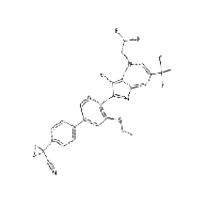 CCSc1cc(-c2ccc(C3(C#N)CC3)cc2)cnc1-c1nc2cc(C(C)(F)F)cn(CC(F)F)c-2c1F